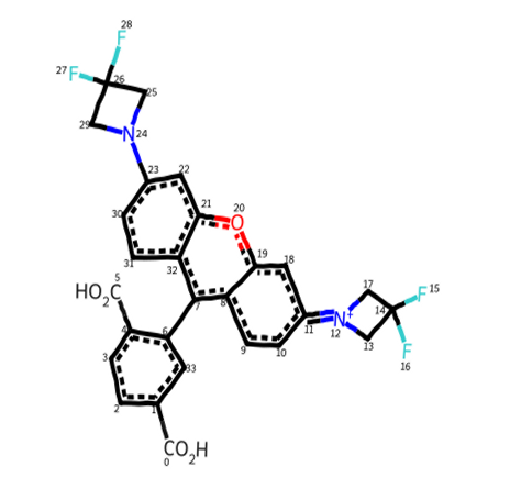 O=C(O)c1ccc(C(=O)O)c(-c2c3ccc(=[N+]4CC(F)(F)C4)cc-3oc3cc(N4CC(F)(F)C4)ccc23)c1